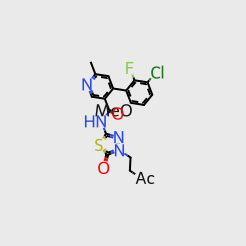 COc1ccc(Cl)c(F)c1-c1cc(C)ncc1C(=O)Nc1nn(CCC(C)=O)c(=O)s1